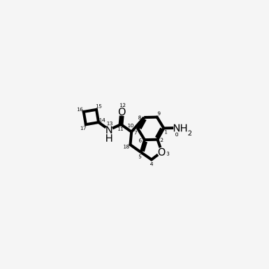 NC1=C2OCC3=C2C=C(C1)C(C(=O)NC1CCC1)C3